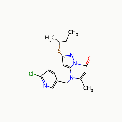 CCC(C)Sc1cc2n(Cc3ccc(Cl)nc3)c(C)cc(=O)n2n1